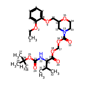 CCOc1ccccc1OCC1CN(C(=O)OCOC(=O)[C@H](NC(=O)OC(C)(C)C)C(C)C)CCO1